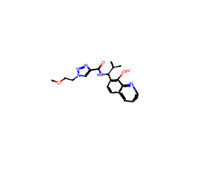 COCCn1cc(C(=O)NC(c2ccc3cccnc3c2O)C(C)C)nn1